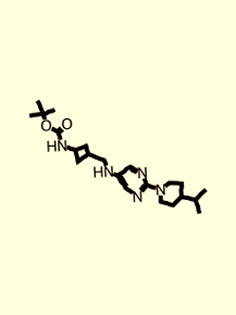 CC(C)C1CCN(c2ncc(NCC3CC(NC(=O)OC(C)(C)C)C3)cn2)CC1